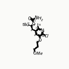 COCCCOc1cc(C[C@H](OC(N)=O)C(C)(C)C)c(I)nc1Cl